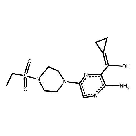 CCS(=O)(=O)N1CCN(c2cnc(N)c(C(O)=C3CC3)n2)CC1